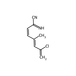 C=C(Cl)/C=C(C)/C=C\C(=N)C#N